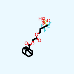 O=C(COC(=O)C12CC3CC(CC(C3)C1)C2)OCCC(F)(F)C(F)(F)S(=O)(=O)O